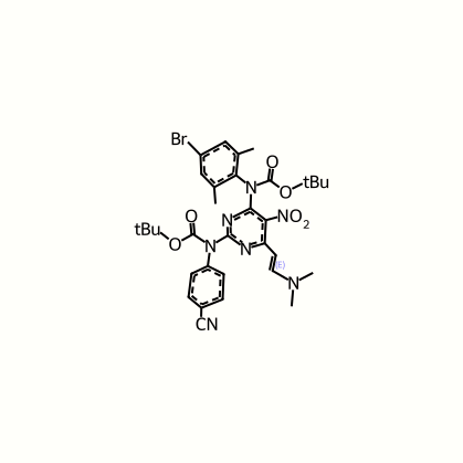 Cc1cc(Br)cc(C)c1N(C(=O)OC(C)(C)C)c1nc(N(C(=O)OC(C)(C)C)c2ccc(C#N)cc2)nc(/C=C/N(C)C)c1[N+](=O)[O-]